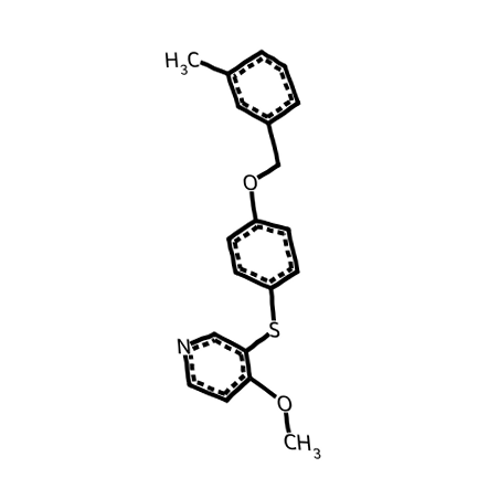 COc1ccncc1Sc1ccc(OCc2cccc(C)c2)cc1